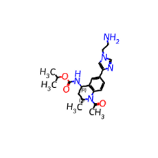 CC(=O)N1c2ccc(-c3cn(CCN)cn3)cc2[C@H](NC(=O)OC(C)C)C[C@@H]1C